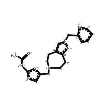 CC(=O)Nc1ncc(CN2CCc3cn(Cc4ccccn4)nc3CC2)s1